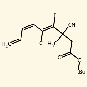 C=C/C=C\C(Cl)=C(/F)C(C)(C#N)CC(=O)OC(C)(C)C